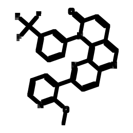 COc1ncccc1-c1ccc2ncc3ccc(=O)n(-c4cccc(C(F)(F)F)c4)c3c2n1